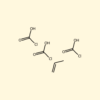 C=CC.O=C(O)Cl.O=C(O)Cl.O=C(O)Cl